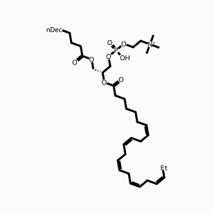 CC/C=C\C/C=C\C/C=C\C/C=C\C/C=C\CCCCCC(=O)O[C@H](COC(=O)CCCCCCCCCCCCC)COP(=O)(O)OCC[N+](C)(C)C